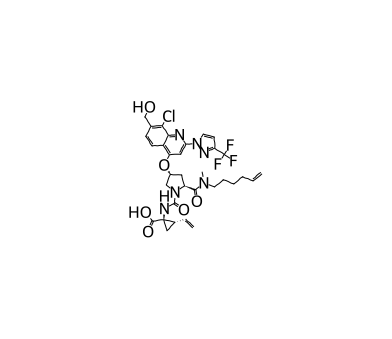 C=CCCCCN(C)C(=O)[C@@H]1C[C@H](Oc2cc(-n3ccc(C(F)(F)F)n3)nc3c(Cl)c(CO)ccc23)CN1C(=O)N[C@]1(C(=O)O)C[C@H]1C=C